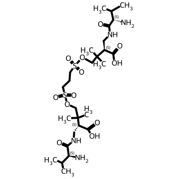 CC(C)[C@H](N)C(=O)NC[C@@H](C(=O)O)C(C)(C)COS(=O)(=O)CCCS(=O)(=O)OCC(C)(C)[C@@H](CNC(=O)[C@@H](N)C(C)C)C(=O)O